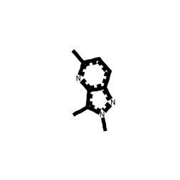 Cc1ccc2nn(C)c(C)c2n1